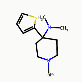 [CH2]CCN1CCC(c2cccs2)(N(C)C)CC1